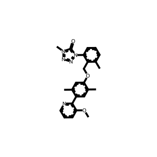 COc1cccnc1-c1cc(C)c(OCc2c(C)cccc2-n2nnn(C)c2=O)cc1C